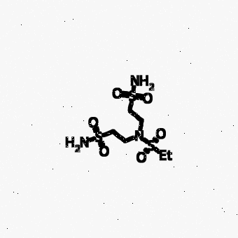 CCS(=O)(=O)N(CCS(N)(=O)=O)CCS(N)(=O)=O